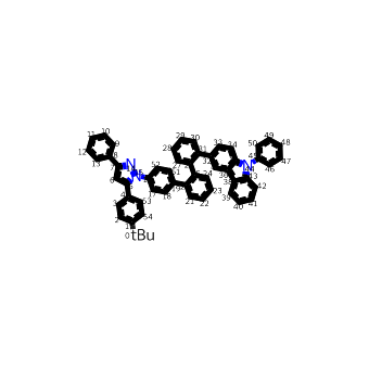 CC(C)(C)c1ccc(-c2cc(-c3ccccc3)nn2-c2ccc(-c3ccccc3-c3ccccc3-c3ccc4c(c3)c3ccccc3n4-c3ccccc3)cc2)cc1